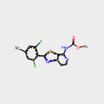 CC(C)(C)OC(=O)Nc1nccc2nc(-c3c(F)cc(C#N)cc3Cl)sc12